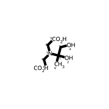 CC(O)(CO)N(CC(=O)O)CC(=O)O